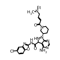 CCN(C)C/C=C/C(=O)N1CCC[C@@H](N2NC(C(=O)Nc3nc4cc(Cl)ccc4o3)c3c(N)ncnc32)C1